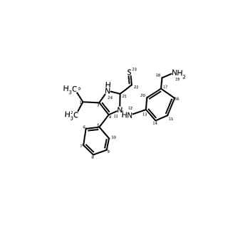 CC(C)C1=C(c2ccccc2)N(Nc2cccc(CN)c2)C(C=S)N1